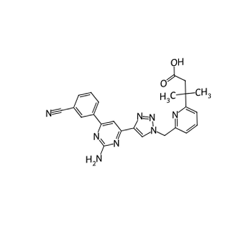 CC(C)(CC(=O)O)c1cccc(Cn2cc(-c3cc(-c4cccc(C#N)c4)nc(N)n3)nn2)n1